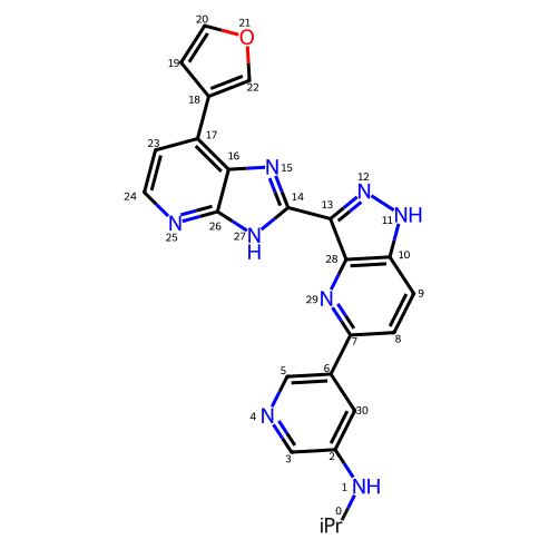 CC(C)Nc1cncc(-c2ccc3[nH]nc(-c4nc5c(-c6ccoc6)ccnc5[nH]4)c3n2)c1